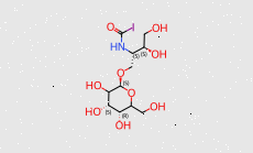 O=C(I)N[C@@H](CO[C@H]1OC(CO)[C@H](O)[C@H](O)C1O)[C@H](O)CO